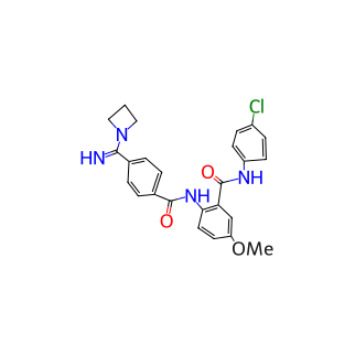 COc1ccc(NC(=O)c2ccc(C(=N)N3CCC3)cc2)c(C(=O)Nc2ccc(Cl)cc2)c1